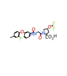 Cc1ccc(Oc2cccc(C(=O)NCC(=O)N3CC(OC(F)F)C[C@H]3C(=O)O)c2)c(F)c1